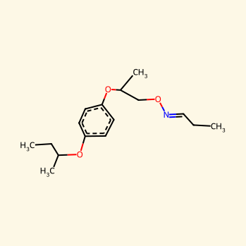 CCC=NOCC(C)Oc1ccc(OC(C)CC)cc1